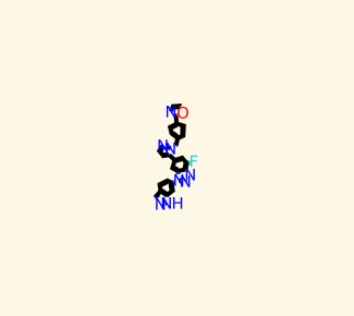 Fc1cc(-c2ccnn2Cc2ccc(-c3ncco3)cc2)cc2c1nnn2-c1ccc2cn[nH]c2c1